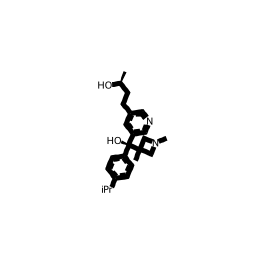 CC(C)c1ccc([C@](O)(c2cncc(CC[C@H](C)O)c2)C2(C)CN(C)C2)cc1